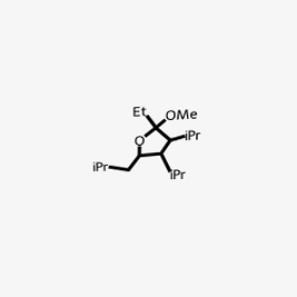 CCC1(OC)OC(CC(C)C)C(C(C)C)C1C(C)C